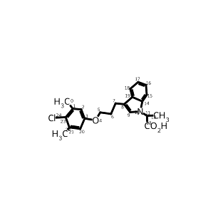 Cc1cc(OCCCc2cn(C(C)C(=O)O)c3ccccc23)cc(C)c1Cl